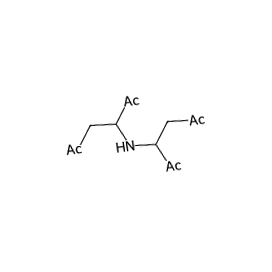 CC(=O)CC(NC(CC(C)=O)C(C)=O)C(C)=O